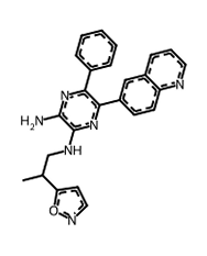 CC(CNc1nc(-c2ccc3ncccc3c2)c(-c2ccccc2)nc1N)c1ccno1